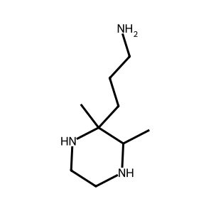 CC1NCCNC1(C)CCCN